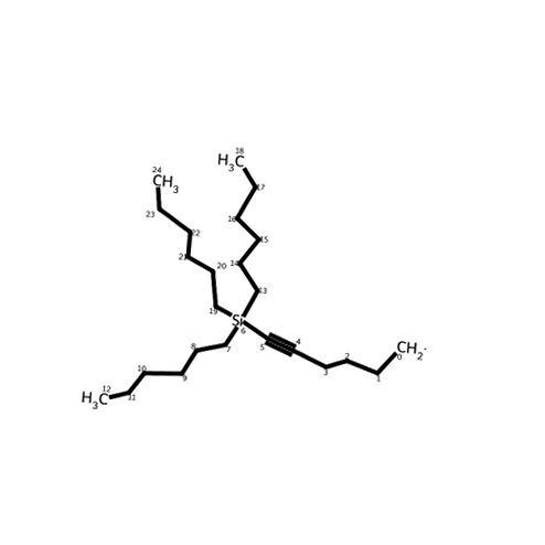 [CH2]CCCC#C[Si](CCCCCC)(CCCCCC)CCCCCC